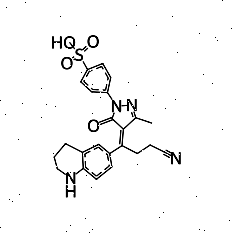 CC1=NN(c2ccc(S(=O)(=O)O)cc2)C(=O)C1=C(CCC#N)c1ccc2c(c1)CCCN2